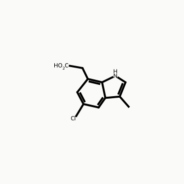 Cc1c[nH]c2c(CC(=O)O)cc(Cl)cc12